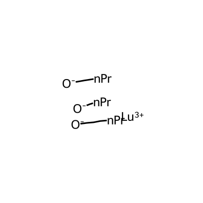 CCC[O-].CCC[O-].CCC[O-].[Lu+3]